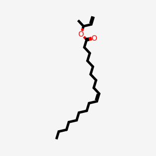 C=CC(C)OC(=O)CCCCCCC/C=C\CCCCCCCC